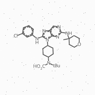 CC1(Nc2ncc3nc(Nc4cccc(Cl)c4)n(C4CCC(N(C(=O)O)C(C)(C)C)CC4)c3n2)CCOCC1